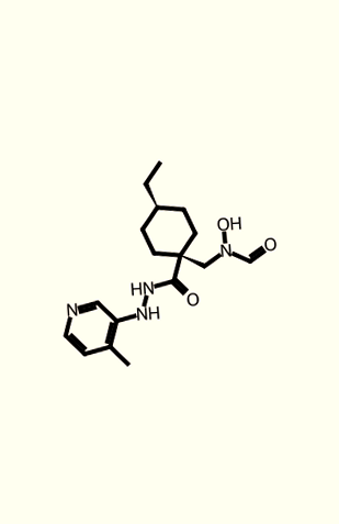 CC[C@H]1CC[C@](CN(O)C=O)(C(=O)NNc2cnccc2C)CC1